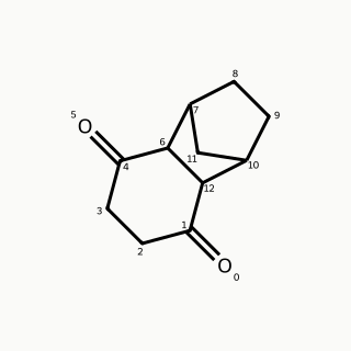 O=C1CCC(=O)C2C3CCC(C3)C12